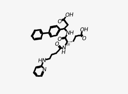 O=C(O)CC[C@H](NC(=O)CCCNc1ccccn1)C(=O)NC(CC(=O)O)c1ccc(-c2ccccc2)cc1